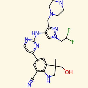 CN1CCN(Cc2nn(CC(F)F)cc2Nc2nccc(-c3cc(C#N)c4c(c3)C(C)(CO)CN4)n2)CC1